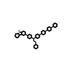 c1ccc(CCC(c2ccc(-c3ccc(-c4ccc(-c5ccccc5)cc4)cc3)cc2)c2ccc(-c3ccc4sc5ccccc5c4c3)cc2)cc1